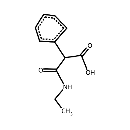 CCNC(=O)C(C(=O)O)c1ccccc1